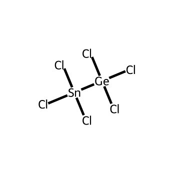 [Cl][Ge]([Cl])([Cl])[Sn]([Cl])([Cl])[Cl]